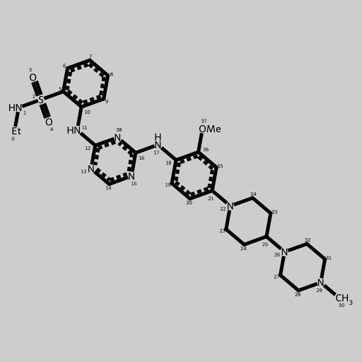 CCNS(=O)(=O)c1ccccc1Nc1ncnc(Nc2ccc(N3CCC(N4CCN(C)CC4)CC3)cc2OC)n1